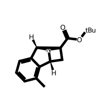 Cc1cccc2c1[C@H]1CC3(C(=O)OC(C)(C)C)[C@@H]2N13